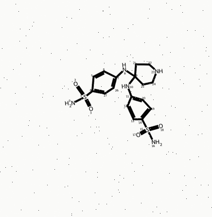 NS(=O)(=O)c1ccc(NC2(Nc3ccc(S(N)(=O)=O)cc3)CCNCC2)cc1